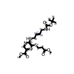 COC(=O)CCSc1nc(C(=O)OC)cnc1NC/C=C/CNC(=O)OC(C)(C)C